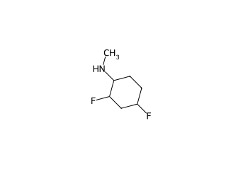 CNC1CCC(F)CC1F